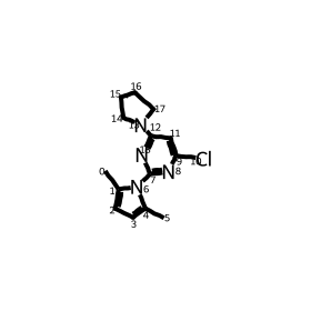 Cc1ccc(C)n1-c1nc(Cl)cc(N2C[CH]CC2)n1